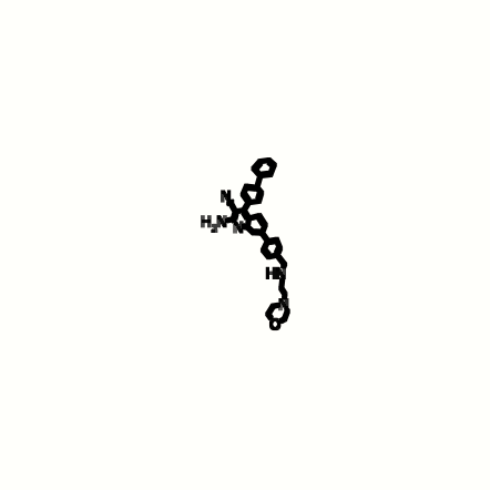 N#Cc1c(N)nc2cc(-c3ccc(CNCCCN4CCOCC4)cc3)ccc2c1-c1ccc(-c2ccccc2)cc1